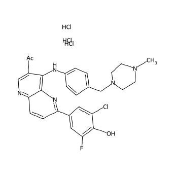 CC(=O)c1cnc2ccc(-c3cc(F)c(O)c(Cl)c3)nc2c1Nc1ccc(CN2CCN(C)CC2)cc1.Cl.Cl.Cl